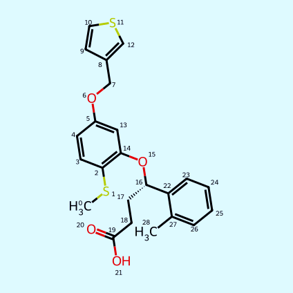 CSc1ccc(OCc2ccsc2)cc1O[C@@H](CCC(=O)O)c1ccccc1C